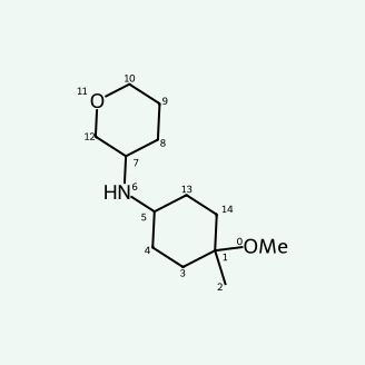 COC1(C)CCC(NC2CCCOC2)CC1